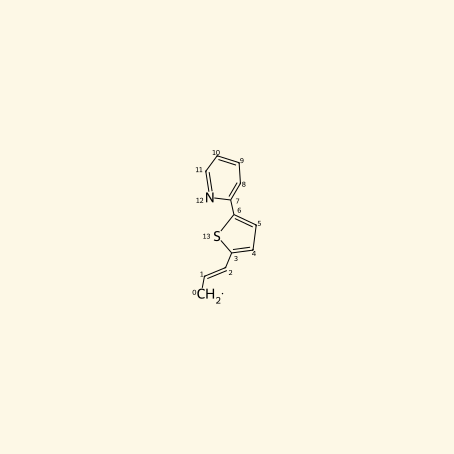 [CH2]C=Cc1ccc(-c2ccccn2)s1